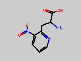 NC(Cc1ncccc1[N+](=O)[O-])C(=O)O